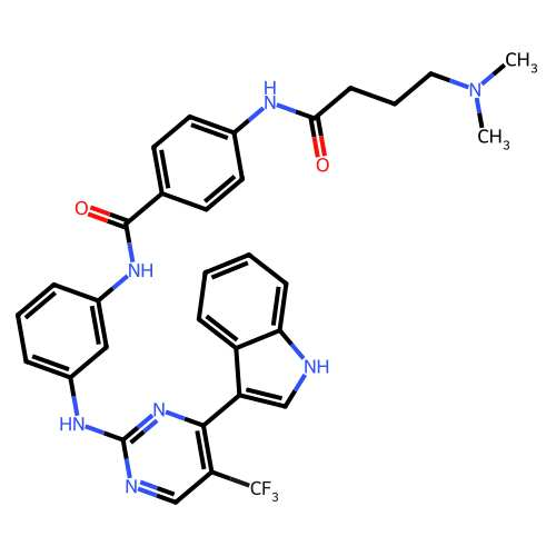 CN(C)CCCC(=O)Nc1ccc(C(=O)Nc2cccc(Nc3ncc(C(F)(F)F)c(-c4c[nH]c5ccccc45)n3)c2)cc1